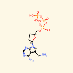 NCc1cn([C@H]2CC[C@@H](COP(=O)(O)OP(=O)(O)OP(=O)(O)O)O2)c2ncnc(N)c12